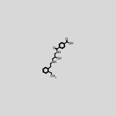 CCc1ccccc1CCNCC(O)CNC(=O)c1ccc(C(=O)O)cc1